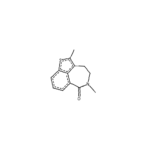 Cc1sc2cccc3c2c1CCN(C)C3=O